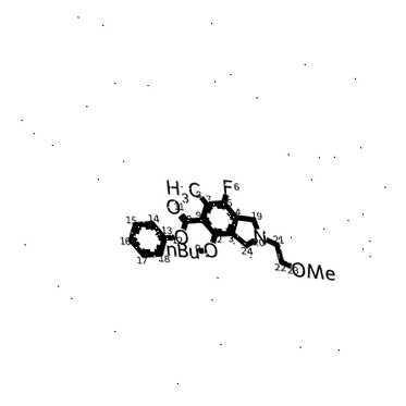 CCCCOc1c2c(c(F)c(C)c1C(=O)Oc1ccccc1)CN(CCOC)C2